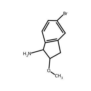 COC1Cc2cc(Br)ccc2C1N